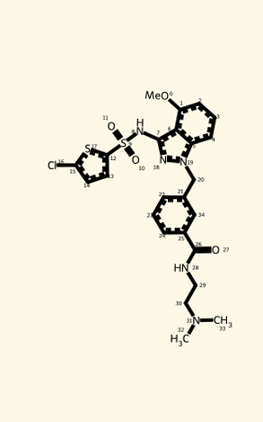 COc1cccc2c1c(NS(=O)(=O)c1ccc(Cl)s1)nn2Cc1cccc(C(=O)NCCN(C)C)c1